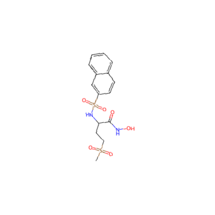 CS(=O)(=O)CCC(NS(=O)(=O)c1ccc2ccccc2c1)C(=O)NO